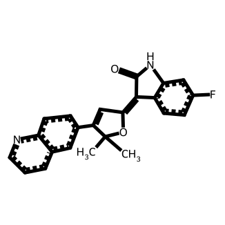 CC1(C)O/C(=C2/C(=O)Nc3cc(F)ccc32)C=C1c1ccc2ncccc2c1